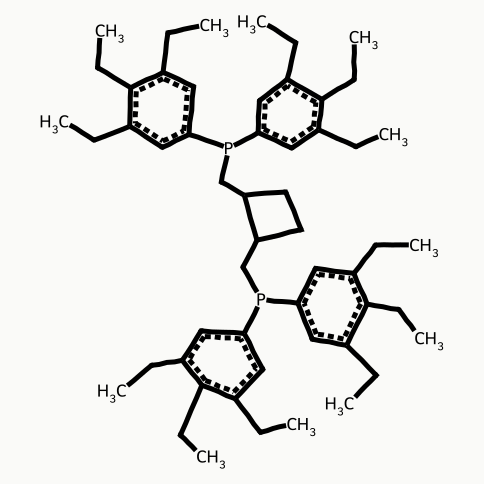 CCc1cc(P(CC2CCC2CP(c2cc(CC)c(CC)c(CC)c2)c2cc(CC)c(CC)c(CC)c2)c2cc(CC)c(CC)c(CC)c2)cc(CC)c1CC